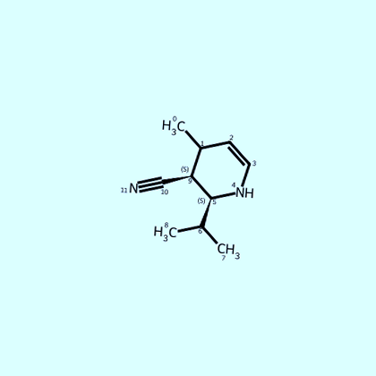 CC1C=CN[C@@H](C(C)C)[C@H]1C#N